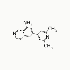 Cc1cc(-c2cc(N)c3cnccc3c2)cc(C)n1